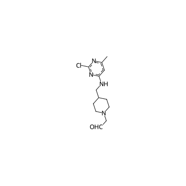 Cc1cc(NCC2CCN(CC=O)CC2)nc(Cl)n1